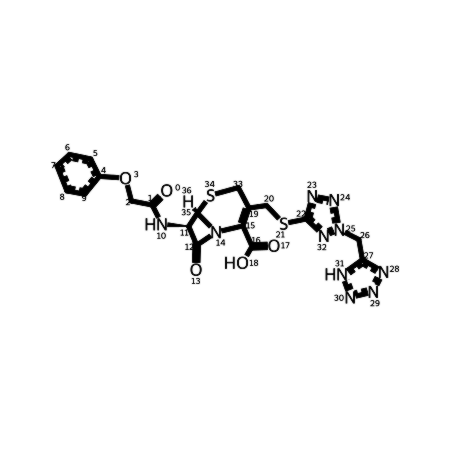 O=C(COc1ccccc1)N[C@@H]1C(=O)N2C(C(=O)O)=C(CSc3nnn(Cc4nnn[nH]4)n3)CS[C@@H]12